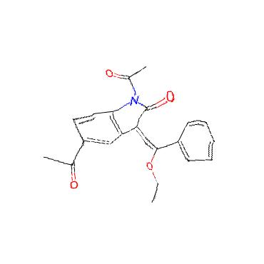 CCOC(=C1C(=O)N(C(C)=O)c2ccc(C(C)=O)cc21)c1ccccc1